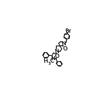 CN(C(=O)c1ccccc1)C(CCN1CCC2(CC1)CCN(Cc1ccc(Br)cc1)C2=O)c1ccccc1